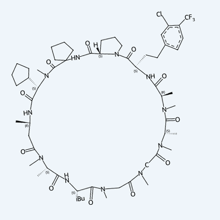 CCC(C)[C@@H]1NC(=O)[C@H](C)N(C)C(=O)C[C@@H](C)NC(=O)[C@H](C2CCCC2)N(C)C(=O)C2(CCCC2)NC(=O)[C@@H]2CCCN2C(=O)[C@H](CCc2ccc(C(F)(F)F)c(Cl)c2)NC(=O)[C@@H](C)N(C)C(=O)[C@H](C)N(C)C(=O)CN(C)C(=O)CN(C)C1=O